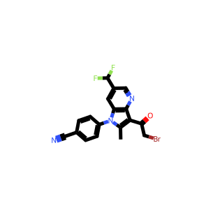 Cc1c(C(=O)CBr)c2ncc(C(F)F)cc2n1-c1ccc(C#N)cc1